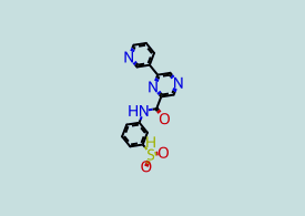 O=C(Nc1cccc([SH](=O)=O)c1)c1cncc(-c2cccnc2)n1